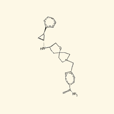 C=C(N)c1ccc(CN2CCC3(CC2)CC(N[C@@H]2C[C@H]2c2ccccc2)CO3)cc1